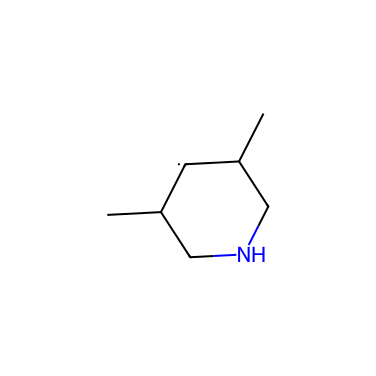 CC1[CH]C(C)CNC1